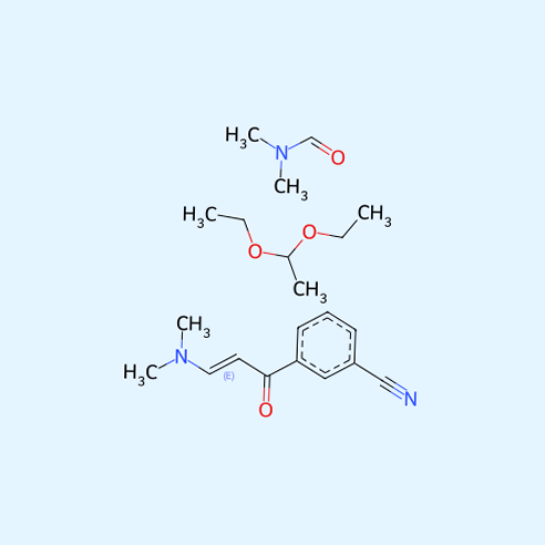 CCOC(C)OCC.CN(C)/C=C/C(=O)c1cccc(C#N)c1.CN(C)C=O